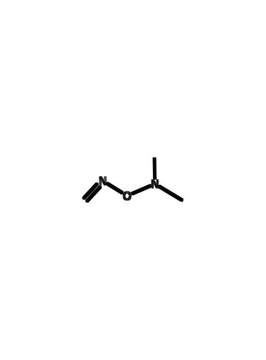 C=NON(C)C